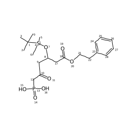 CC(C)(C)[Si](C)(C)OC(CC(=O)CP(=O)(O)O)CC(=O)OCCc1ccccc1